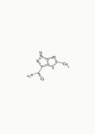 Cc1nc2[nH]nc(C(N)=O)c2s1